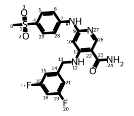 CS(=O)(=O)c1ccc(Nc2cc(NCc3cc(F)cc(F)c3)c(C(N)=O)cn2)cc1